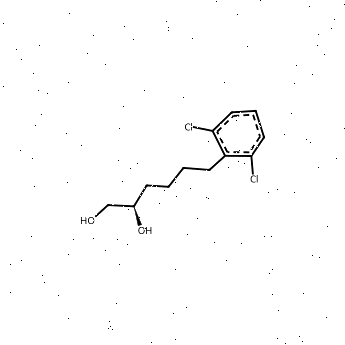 OC[C@H](O)CCCCc1c(Cl)cccc1Cl